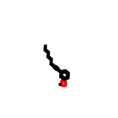 CCCCCCC#Cc1cccc(OC)c1